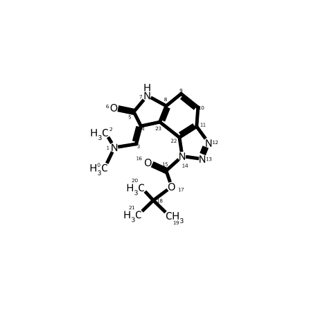 CN(C)/C=C1\C(=O)Nc2ccc3nnn(C(=O)OC(C)(C)C)c3c21